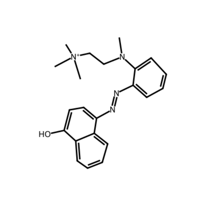 CN(CC[N+](C)(C)C)c1ccccc1/N=N/c1ccc(O)c2ccccc12